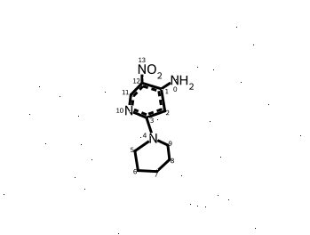 Nc1cc(N2CCCCC2)ncc1[N+](=O)[O-]